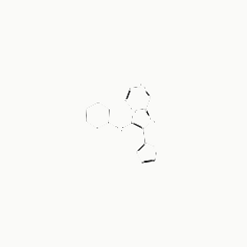 c1coc(-c2nc3cnccn3c2NC2CCCCC2)c1